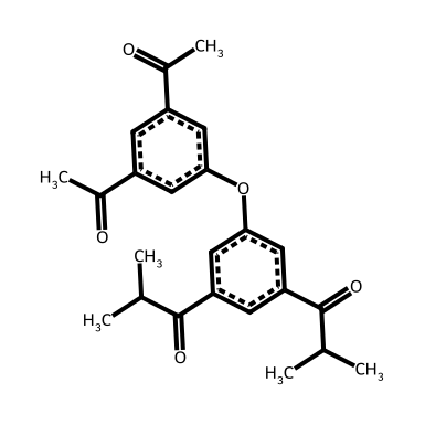 CC(=O)c1cc(Oc2cc(C(=O)C(C)C)cc(C(=O)C(C)C)c2)cc(C(C)=O)c1